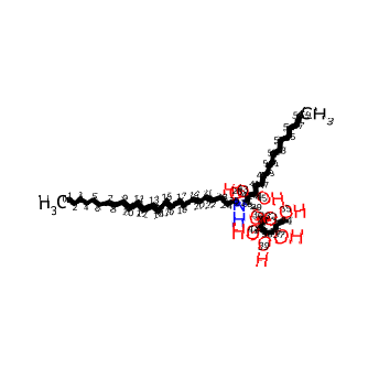 CCCCCCCCCCCCCCCCCCCCCCCCCC(=O)N[C@@H](COC1OC(CO)C(O)[C@@H](O)[C@@H]1O)[C@H](O)[C@H](O)CCCCCCCCCCCCCC